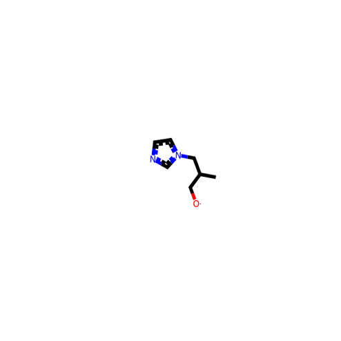 CC(C[O])Cn1ccnc1